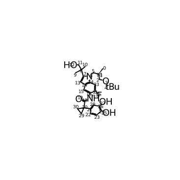 C[C@@H](COC(C)(C)C)Cn1c(C(C)(C)CO)cc2cc(NC(=O)C3(c4ccc(O)c(O)c4)CC3)c(F)cc21